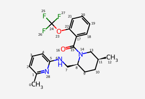 Cc1cccc(NC[C@@H]2CC[C@H](C)CN2C(=O)c2ccccc2OC(F)(F)F)n1